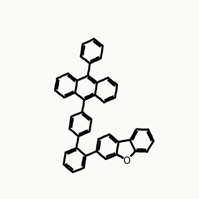 c1ccc(-c2c3ccccc3c(-c3ccc(-c4ccccc4-c4ccc5c(c4)oc4ccccc45)cc3)c3ccccc23)cc1